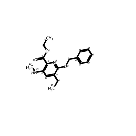 CCOC(=O)c1nc(OCc2ccccc2)c(CC)cc1NC